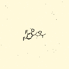 COc1c([C@H]2CO[C@@H](C(C)C)[C@@H]2C)ccc(F)c1F